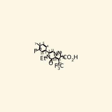 CCn1c(-c2ccc(C)c(F)c2)cn2nc(C(=O)O)c(CC(F)(F)F)c2c1=O